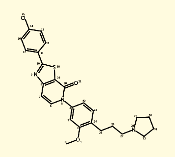 COc1cc(-n2ccc3nc(-c4ccc(Cl)cc4)sc3c2=O)ccc1CCCN1CCCC1